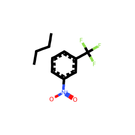 CCCC.O=[N+]([O-])c1cccc(C(F)(F)F)c1